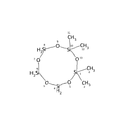 C[Si]1(C)O[SiH2]O[SiH2]O[SiH2]O[Si](C)(C)O1